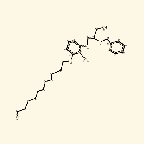 CCCCCCCCCCCCOc1cccc(OCC(CO)OCc2ccccc2)c1C